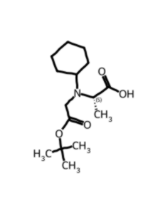 C[C@@H](C(=O)O)N(CC(=O)OC(C)(C)C)C1CCCCC1